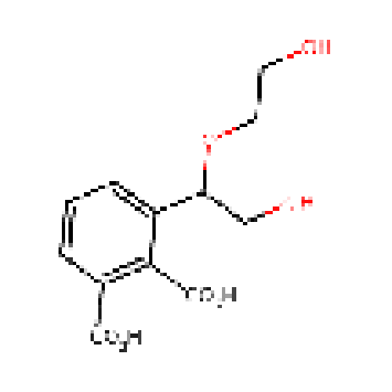 O=C(O)c1cccc(C(CO)OCCO)c1C(=O)O